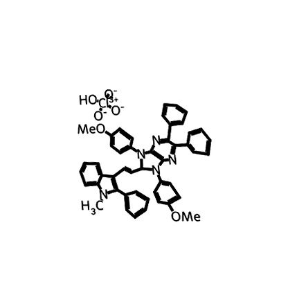 COc1ccc(N2c3nc(-c4ccccc4)c(-c4ccccc4)nc3N(c3ccc(OC)cc3)C2C=Cc2c(-c3ccccc3)n(C)c3ccccc23)cc1.[O-][Cl+3]([O-])([O-])O